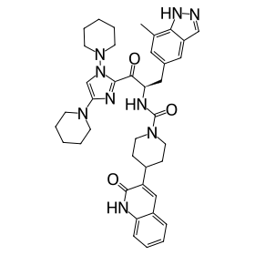 Cc1cc(C[C@@H](NC(=O)N2CCC(c3cc4ccccc4[nH]c3=O)CC2)C(=O)c2nc(N3CCCCC3)cn2N2CCCCC2)cc2cn[nH]c12